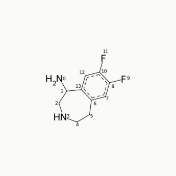 NC1CNCCc2cc(F)c(F)cc21